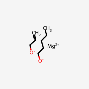 C=CC[O-].CCCCC[O-].[Mg+2]